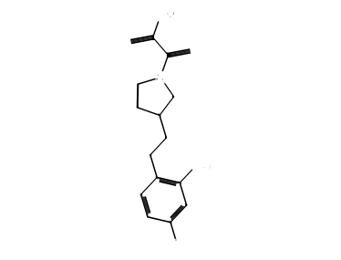 C=C(OC)C(=C)N1CCC(CCc2ccc(F)cc2C(C)(C)C)C1